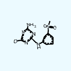 CS(=O)(=O)c1cccc(Nc2nc(N)nc(Cl)n2)c1